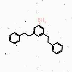 Bc1cc(CCc2ccccc2)cc(CCc2ccccc2)c1